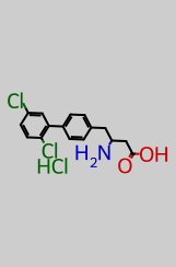 Cl.NC(CC(=O)O)Cc1ccc(-c2cc(Cl)ccc2Cl)cc1